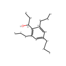 CCCc1cc(CCC)c(C([O])CC)c(CCC)c1